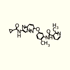 Cc1ccc(Oc2ccc3nc(NC(=O)C4CC4)cn3n2)cc1NC(=O)c1cccnc1C